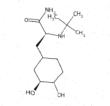 CC(C)(C)N[C@@H](CC1CCC(O)[C@@H](O)C1)C(N)=O